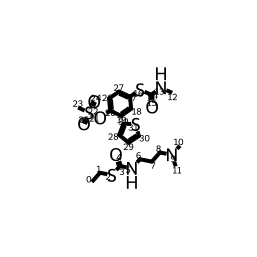 CCSC(=O)NCCCN(C)C.CNC(=O)Sc1ccc(OS(C)(=O)=O)cc1.c1ccsc1